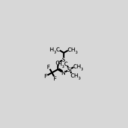 CC(C)SOC(=N[Si](C)(C)C)C(F)(F)F